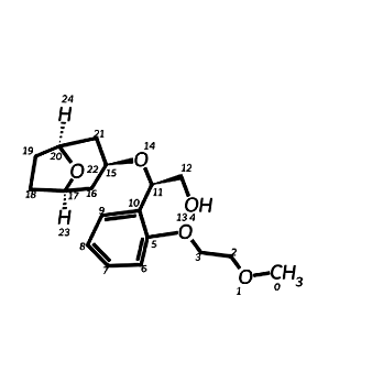 COCCOc1ccccc1[C@H](CO)O[C@H]1C[C@H]2CC[C@@H](C1)O2